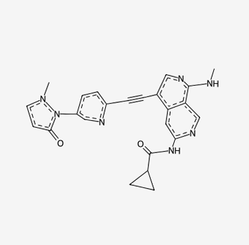 CNc1ncc(C#Cc2ccc(-n3c(=O)ccn3C)cn2)c2cc(NC(=O)C3CC3)ncc12